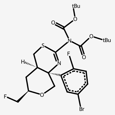 CC(C)(C)OC(=O)N(C(=O)OC(C)(C)C)C1=N[C@@]2(c3cc(Br)ccc3F)CO[C@@H](CF)C[C@H]2CS1